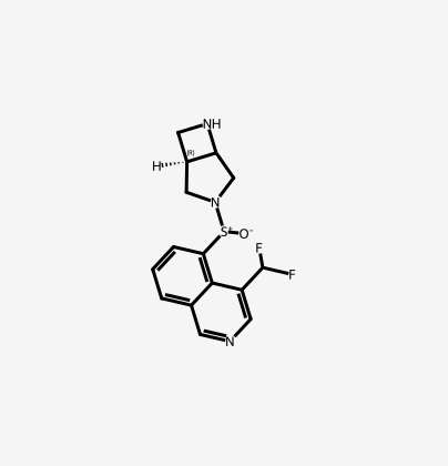 [O-][S+](c1cccc2cncc(C(F)F)c12)N1CC2NC[C@@H]2C1